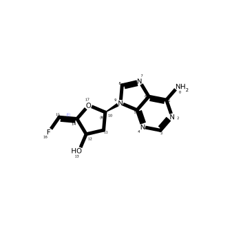 Nc1ncnc2c1ncn2[C@H]1CC(O)/C(=C\F)O1